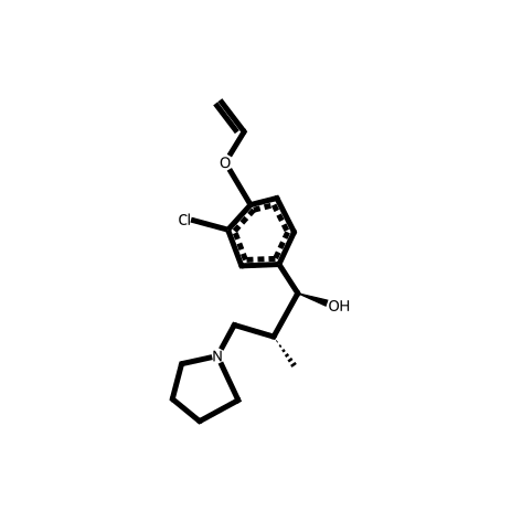 C=COc1ccc([C@@H](O)[C@H](C)CN2CCCC2)cc1Cl